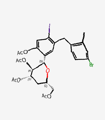 CC(=O)OC[C@@H]1C[C@H](OC(C)=O)[C@@H](OC(C)=O)[C@H](c2cc(Cc3ccc(Br)cc3C)c(I)cc2OC(C)=O)O1